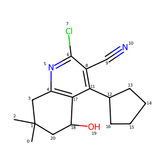 CC1(C)Cc2nc(Cl)c(C#N)c(C3CCCC3)c2C(O)C1